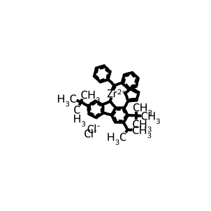 CC(C)c1cc2c(c(C3=CC=CC3)c1C(C)(C)C)[CH]([Zr+2]=[C](c1ccccc1)c1ccccc1)c1cc(C(C)(C)C)ccc1-2.[Cl-].[Cl-]